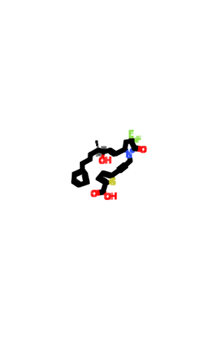 C[C@@H](CCCc1ccccc1)[C@H](O)C=CC1CC(F)(F)C(=O)N1CC#Cc1ccc(C(=O)O)s1